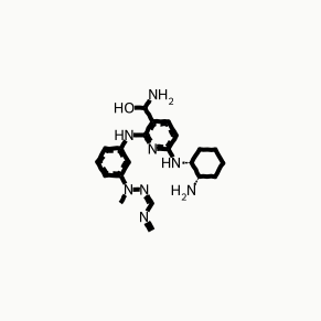 C=N/C=N\N(C)c1cccc(Nc2nc(N[C@@H]3CCCC[C@@H]3N)ccc2C(N)O)c1